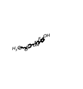 COCCCC(=O)N1CCC(COc2ncc(-c3cccc(CO)c3F)cn2)CC1